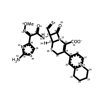 CO/N=C(\C(=O)N[C@]1(C=S)C(=O)N2C(C(=O)[O-])=C(c3cc[n+]4c(c3)CCCC4)CS[C@H]21)c1csc(N)n1